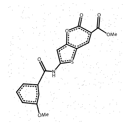 COC(=O)c1cc2sc(NC(=O)c3cccc(OC)c3)cc2oc1=O